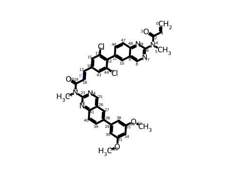 C=CC(=O)N(C)c1ncc2cc(-c3c(Cl)cc(/C=C/C(=O)N(C)c4ncc5cc(-c6cc(OC)cc(OC)c6)ccc5n4)cc3Cl)ccc2n1